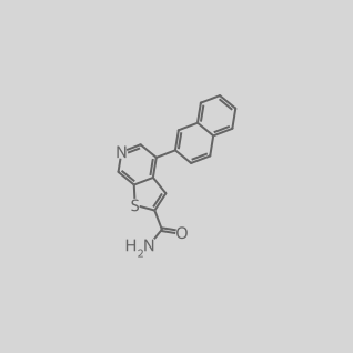 NC(=O)c1cc2c(-c3ccc4ccccc4c3)cncc2s1